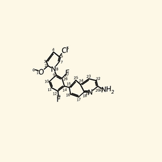 COC1C=CC(Cl)=CN1c1ccc(F)c(-c2ccc3nc(N)ccc3c2)c1F